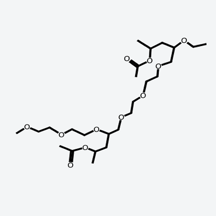 CCOC(COCCOCCOCC(CC(C)OC(C)=O)OCCOCCOC)CC(C)OC(C)=O